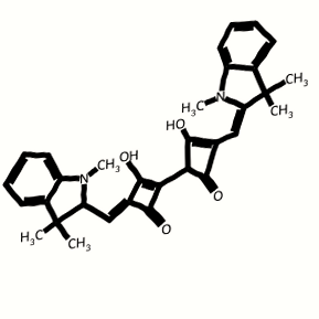 CN1C(=CC2=C(O)C(C3=C(O)C(=CC4N(C)c5ccccc5C4(C)C)C3=O)C2=O)C(C)(C)c2ccccc21